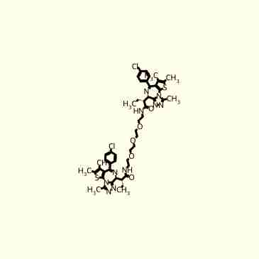 CC[C@@H](C(=O)NCCOCCOCCOCCNC(=O)[C@H](CC)[C@@H]1N=C(c2ccc(Cl)cc2)c2c(sc(C)c2C)-n2c(C)nnc21)[C@@H]1N=C(c2ccc(Cl)cc2)c2c(sc(C)c2C)-n2c(C)nnc21